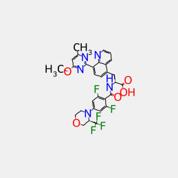 COc1cc(C)nc(-c2ccc(C[C@H](NC(=O)c3c(F)cc(N4CCOC[C@@H]4C(F)(F)F)cc3F)C(=O)O)c3cccnc23)n1